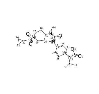 CC(C)n1c(=O)oc2cc(NC(=O)N(C)C3CCN(S(=O)(=O)C4CC4)CC3)ccc21